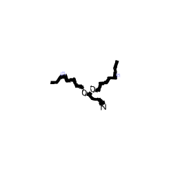 CC/C=C\CCCCOC(CCC#N)OCCCC/C=C\CC